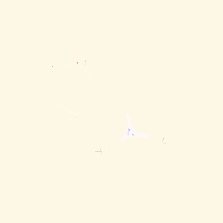 CN(C)CC1OCCO1